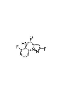 O=c1[nH]c2c(F)cccc2n2nc(F)cc12